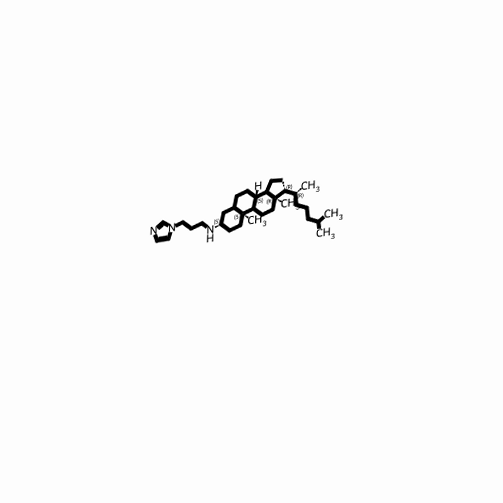 CC(C)CCC[C@@H](C)[C@H]1CCC2[C@H]3CCC4C[C@@H](NCCCn5ccnc5)CC[C@]4(C)C3CC[C@@]21C